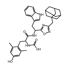 Cc1cc(O)cc(C)c1CC(NC(=O)O)C(=O)NC(Cc1c[nH]c2ccccc12)c1nc(CC23CC4CC(CC(C4)C2)C3)no1